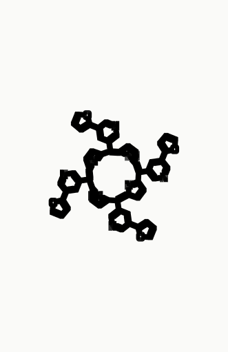 C1=Cc2nc1c(-c1cncc(-c3ccco3)c1)c1ccc([nH]1)c(-c1cncc(-c3ccco3)c1)c1nc(c(-c3cncc(-c4ccco4)c3)c3ccc([nH]3)c2-c2cncc(-c3ccco3)c2)C=C1